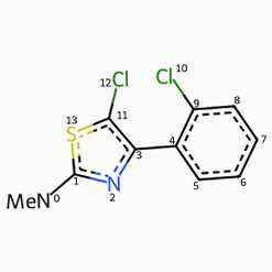 CNc1nc(-c2ccccc2Cl)c(Cl)s1